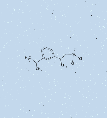 CC(C)c1cccc(C(C)C[Si](Cl)(Cl)Cl)c1